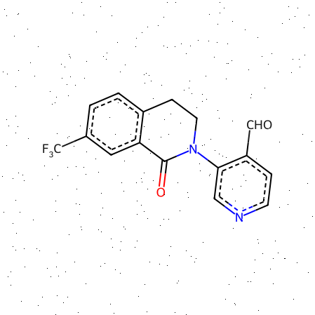 O=Cc1ccncc1N1CCc2ccc(C(F)(F)F)cc2C1=O